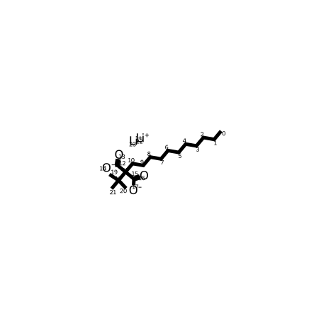 CCCCCCCCCCCC(C(=O)[O-])(C(=O)[O-])C(C)(C)C.[Li+].[Li+]